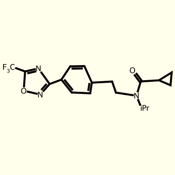 CC(C)N(CCc1ccc(-c2noc(C(F)(F)F)n2)cc1)C(=O)C1CC1